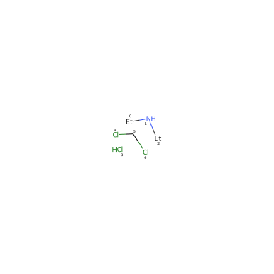 CCNCC.Cl.ClCCl